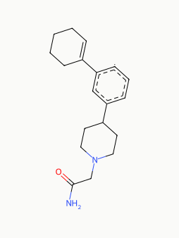 NC(=O)CN1CCC(c2cc[c]c(C3=CCCCC3)c2)CC1